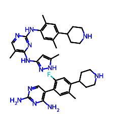 Cc1cc(-c2cnc(N)nc2N)c(F)cc1C1CCNCC1.Cc1cc(Nc2nc(Nc3cc(C)c(C4CCNCC4)cc3C)ncc2C)n[nH]1